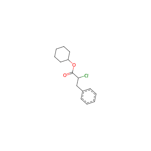 O=C(OC1CCCCC1)C(Cl)Cc1ccccc1